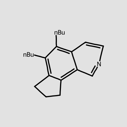 CCCCc1c2c(c3cnccc3c1CCCC)CCC2